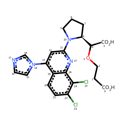 O=C(O)CCOC(C(=O)O)[C@@H]1CCCN1c1cc(-n2ccnc2)c2ccc(Cl)c(Cl)c2n1